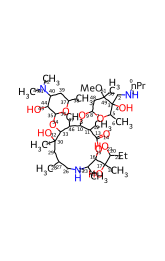 CCCNCC1(O)C(C)OC(OC2C(C)C(=O)OC(C(C)(O)C(O)CC)C(C)NCC(C)CC(C)(O)C(OC3OC(C)CC(N(C)C)C3O)C2C)CC1(C)OC